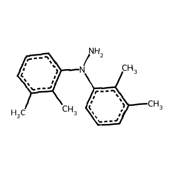 Cc1cccc(N(N)c2cccc(C)c2C)c1C